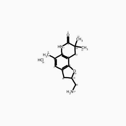 Cc1cc2c(c3c1NC(=O)C(C)(C)C3)OC(CN)C2.Cl